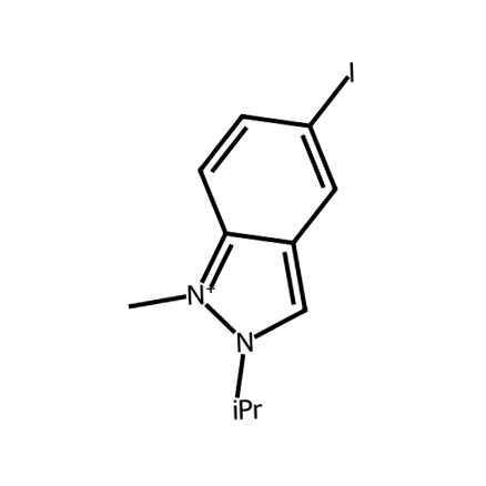 CC(C)n1cc2cc(I)ccc2[n+]1C